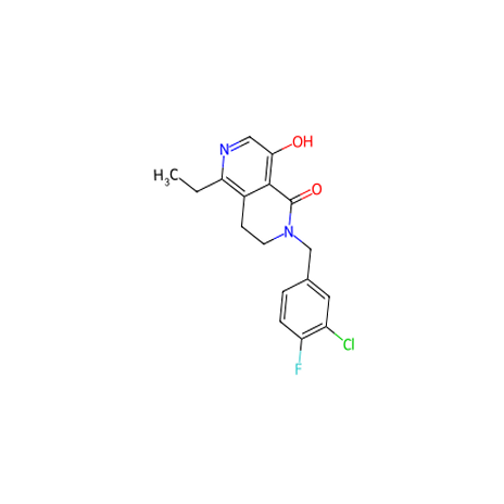 CCc1ncc(O)c2c1CCN(Cc1ccc(F)c(Cl)c1)C2=O